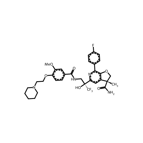 COc1cc(C(=O)NC[C@](O)(c2cc3c(c(-c4ccc(F)cc4)n2)OC[C@]3(C)C(N)=O)C(F)(F)F)ccc1OCCN1CCCCC1